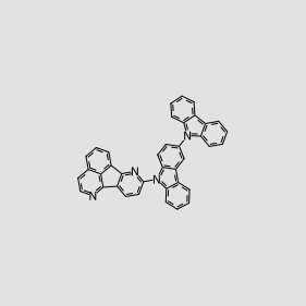 c1cc2c3c(nccc3c1)-c1ccc(-n3c4ccccc4c4cc(-n5c6ccccc6c6ccccc65)ccc43)nc1-2